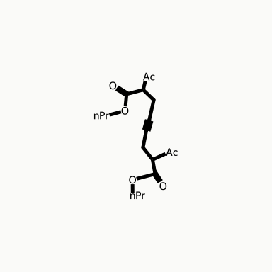 CCCOC(=O)C(CC#CCC(C(C)=O)C(=O)OCCC)C(C)=O